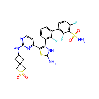 NC1NC(c2cccc(-c3ccc(F)c(S(N)(=O)=O)c3F)c2F)=C(c2ccnc(NC3CC4(C3)CS(=O)(=O)C4)n2)S1